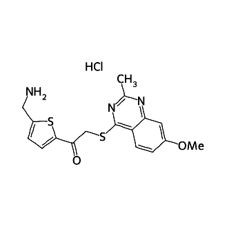 COc1ccc2c(SCC(=O)c3ccc(CN)s3)nc(C)nc2c1.Cl